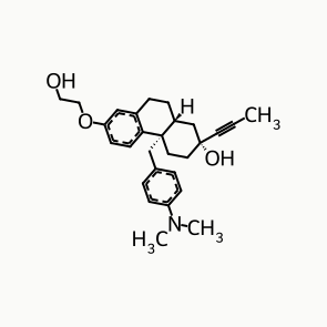 CC#C[C@@]1(O)CC[C@@]2(Cc3ccc(N(C)C)cc3)c3ccc(OCCO)cc3CC[C@@H]2C1